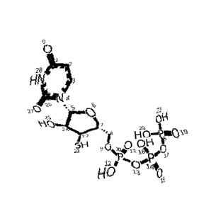 O=c1ccn([C@@H]2O[C@H](COP(=O)(O)OP(=O)(O)OP(=O)(O)O)[C@@H](S)[C@H]2O)c(=O)[nH]1